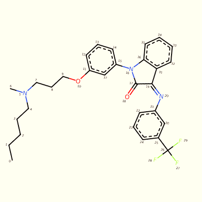 CCCCCN(C)CCCOc1cccc(N2C(=O)C(=Nc3cccc(C(F)(F)F)c3)c3ccccc32)c1